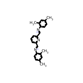 Cc1ccc(/N=C/c2cccc(/C=N/c3ccc(C)cc3C)n2)c(C)c1